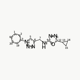 c1ccc(-n2cc(CNc3nnc(C4CC4)o3)nn2)cc1